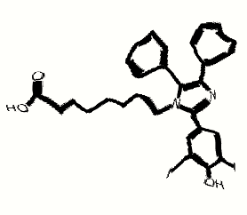 O=C(O)CCCCCCCn1c(-c2cc(I)c(O)c(I)c2)nc(-c2ccccc2)c1-c1ccccc1